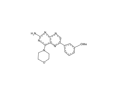 COc1cccc(-c2cnc3nc(N)nc(N4CCOCC4)c3n2)c1